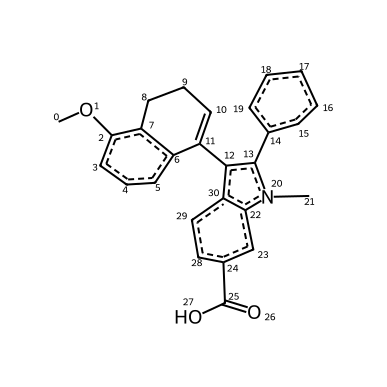 COc1cccc2c1CCC=C2c1c(-c2ccccc2)n(C)c2cc(C(=O)O)ccc12